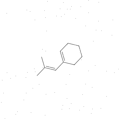 CC(C)=CC1=CCCCC1